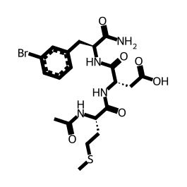 CSCC[C@H](NC(C)=O)C(=O)N[C@@H](CC(=O)O)C(=O)N[C@@H](Cc1cccc(Br)c1)C(N)=O